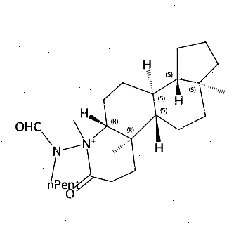 CCCCCN(C=O)[N+]1(C)C(=O)CC[C@@]2(C)[C@H]1CC[C@H]1[C@@H]3CCC[C@@]3(C)CC[C@@H]12